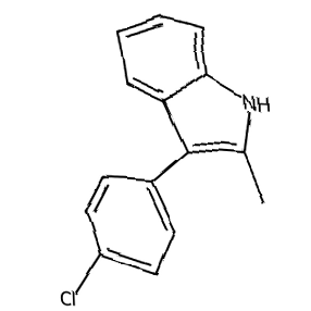 Cc1[nH]c2ccccc2c1-c1ccc(Cl)cc1